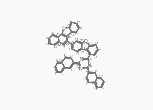 c1ccc2cc(-c3nc(-c4ccc5ccccc5c4)nc(-c4cccc5oc6cc(-c7cc8ccccc8c8oc9ccccc9c78)ccc6c45)n3)ccc2c1